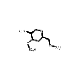 CC(=O)NC1COC(COS(=O)(=O)O)CC1OS(=O)(=O)O